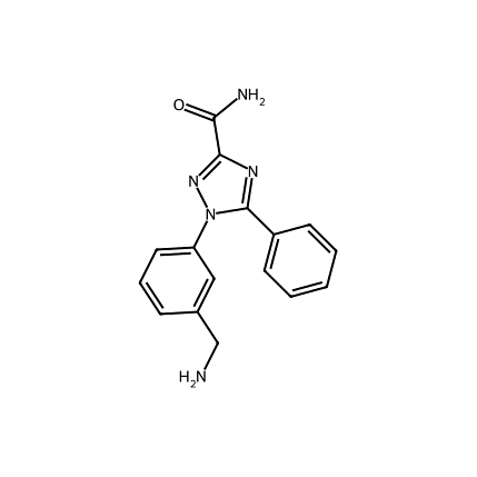 NCc1cccc(-n2nc(C(N)=O)nc2-c2ccccc2)c1